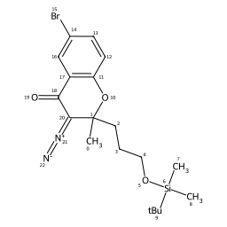 CC1(CCCO[Si](C)(C)C(C)(C)C)Oc2ccc(Br)cc2C(=O)C1=[N+]=[N-]